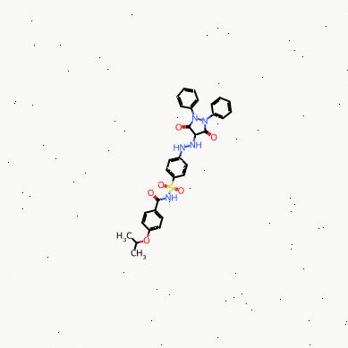 CC(C)Oc1ccc(C(=O)NS(=O)(=O)c2ccc(NNC3C(=O)N(c4ccccc4)N(c4ccccc4)C3=O)cc2)cc1